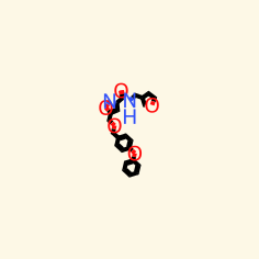 O=C(NCC1CCOC1)c1cc(COCc2ccc(Oc3ccccc3)cc2)on1